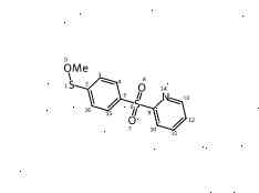 COSc1ccc(S(=O)(=O)c2ccccn2)cc1